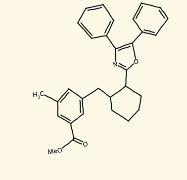 COC(=O)c1cc(C)cc(CC2CCCCC2c2nc(-c3ccccc3)c(-c3ccccc3)o2)c1